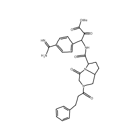 COC(=O)C(=O)C(NC(=O)C1CCC2CN(C(=O)CCc3ccccc3)CC(=O)N21)c1ccc(C(=N)N)cc1